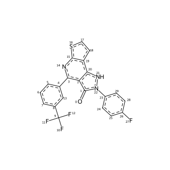 O=c1c2c(-c3cccc(C(F)(F)F)c3)nc3sccc3c2[nH]n1-c1ccc(F)cc1